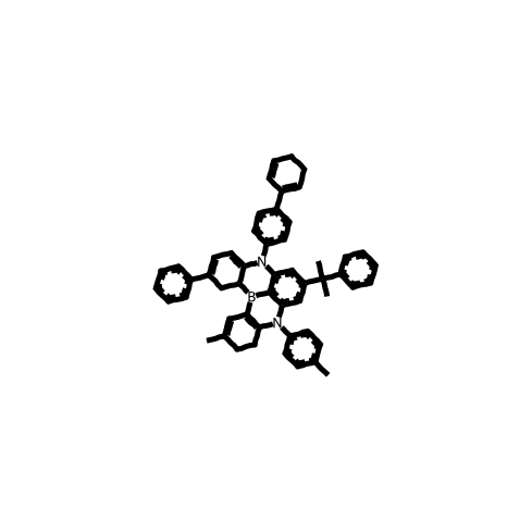 CC1=CC2=C(CC1)N(c1ccc(C)cc1)c1cc(C(C)(C)c3ccccc3)cc3c1B2C1CC(c2ccccc2)=CC=C1N3c1ccc(C2=CCCC=C2)cc1